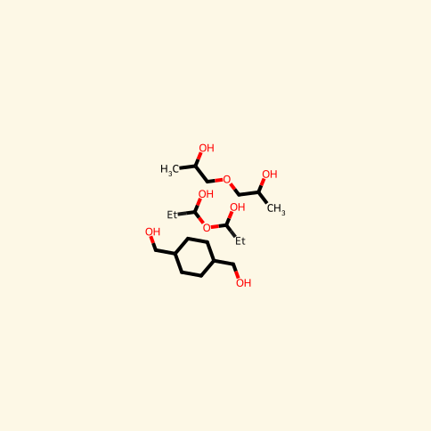 CC(O)COCC(C)O.CCC(O)OC(O)CC.OCC1CCC(CO)CC1